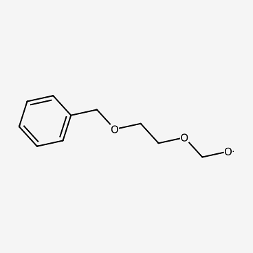 [O]COCCOCc1ccccc1